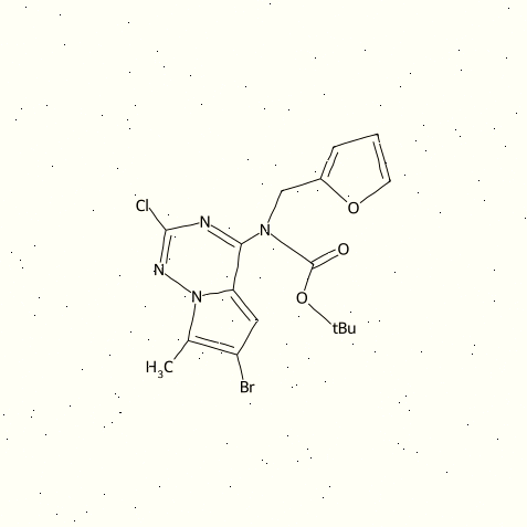 Cc1c(Br)cc2c(N(Cc3ccco3)C(=O)OC(C)(C)C)nc(Cl)nn12